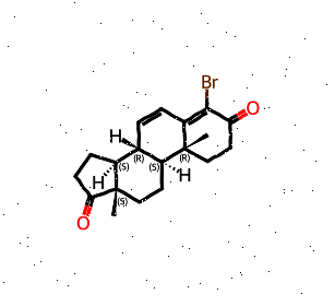 C[C@]12CCC(=O)C(Br)=C1C=C[C@@H]1[C@@H]2CC[C@]2(C)C(=O)CC[C@@H]12